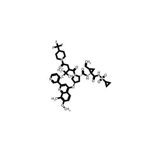 C=CC1C[C@@]1(NC(=O)[C@@H]1C[C@@H](Oc2cc(-c3cccnc3)nc3c(C)c(OC)ccc23)CN1C(=O)C(CC(=O)N1CCC(C(F)(F)F)CC1)C(C)(C)C)C(=O)NS(=O)(=O)C1CC1